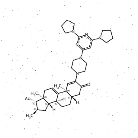 CC(=O)[C@H]1[C@H](C)C[C@H]2[C@@H]3CC[C@H]4CC(=O)C(N5CCN(c6cc(N7CCCC7)nc(N7CCCC7)n6)CC5)=C[C@]4(C)C3=CC[C@@]21C